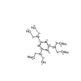 COCN(CO)c1nc(N(CO)CO)nc(N(COC)COC)n1